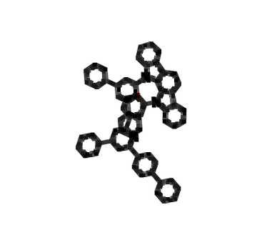 c1ccc(-c2ccc(-c3cc(-c4ccccc4)cc(-c4cccc(-n5c6ccccc6c6ccc7c8ccccc8n(-c8cc(-c9ccccc9)cc(-c9ccccc9)c8)c7c65)c4)n3)cc2)cc1